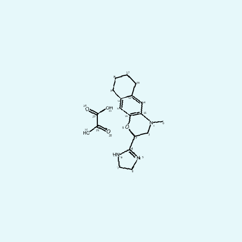 CN1CC(C2=NCCN2)Oc2cc3c(cc21)CCCC3.O=C(O)C(=O)O